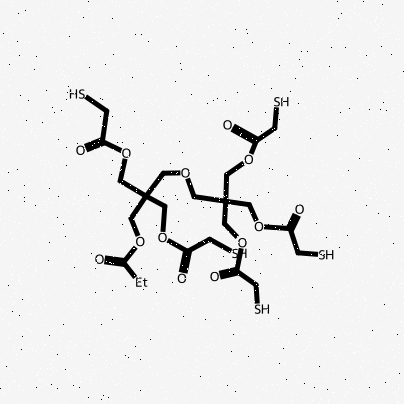 CCC(=O)OCC(COCC(COC(=O)CS)(COC(=O)CS)COC(=O)CS)(COC(=O)CS)COC(=O)CS